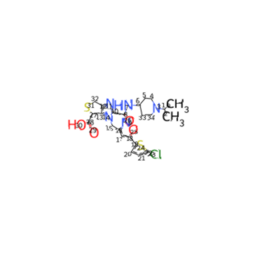 CC(C)N1CCC(NC(=O)c2nc3c(n2Cc2cc(-c4ccc(Cl)s4)on2)C(C(=O)O)SC3)CC1